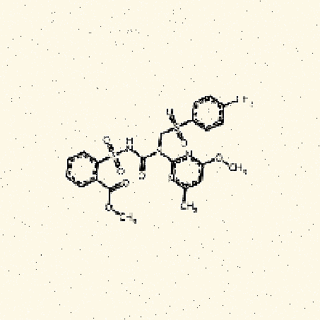 COC(=O)c1ccccc1S(=O)(=O)NC(=O)N(CS(=O)(=O)c1ccc(C)cc1)c1nc(C)cc(OC)n1